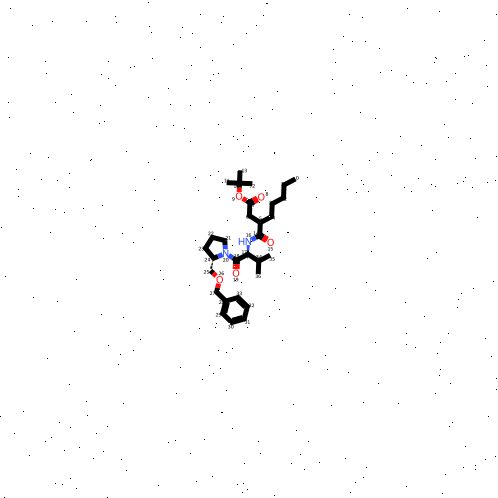 CCCCCC(CC(=O)OC(C)(C)C)C(=O)N[C@H](C(=O)N1CCC[C@H]1COCc1ccccc1)C(C)C